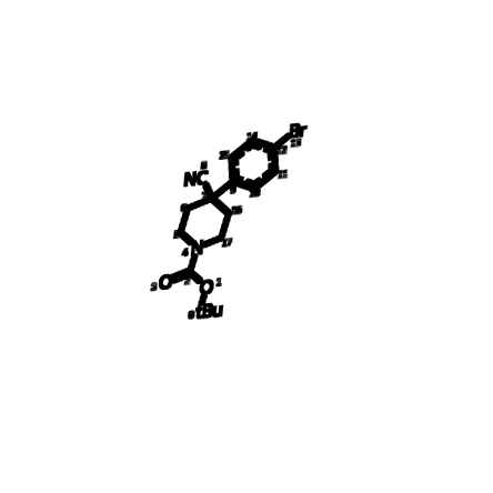 CC(C)(C)OC(=O)N1CCC(C#N)(c2ccc(Br)cc2)CC1